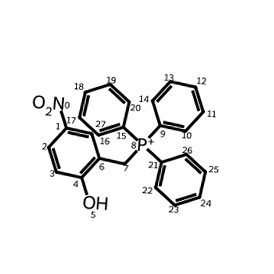 O=[N+]([O-])c1ccc(O)c(C[P+](c2ccccc2)(c2ccccc2)c2ccccc2)c1